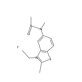 CC[n+]1c(C)sc2ccc(N(C)C(C)=O)cc21.[I-]